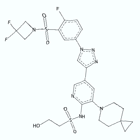 O=S(=O)(CCO)Nc1ncc(-c2cn(-c3ccc(F)c(S(=O)(=O)N4CC(F)(F)C4)c3)nn2)cc1N1CCC2(CC1)CC2